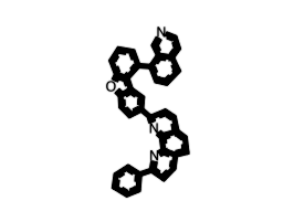 c1ccc(-c2ccc3ccc4ccc(-c5ccc6oc7cccc(-c8cccc9ccncc89)c7c6c5)nc4c3n2)cc1